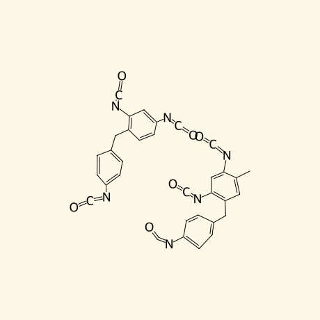 Cc1cc(Cc2ccc(N=C=O)cc2)c(N=C=O)cc1N=C=O.O=C=Nc1ccc(Cc2ccc(N=C=O)cc2N=C=O)cc1